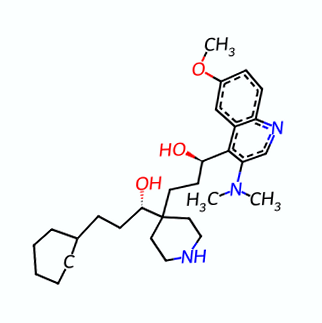 COc1ccc2ncc(N(C)C)c([C@H](O)CCC3([C@@H](O)CCC4CCCCC4)CCNCC3)c2c1